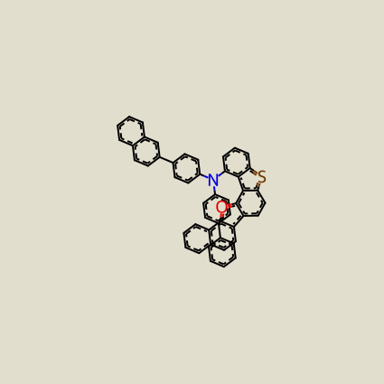 c1ccc(-c2ccc(N(c3ccc(-c4ccc5ccccc5c4)cc3)c3cccc4sc5ccc6c7ccc8ccccc8c7oc6c5c34)cc2)cc1